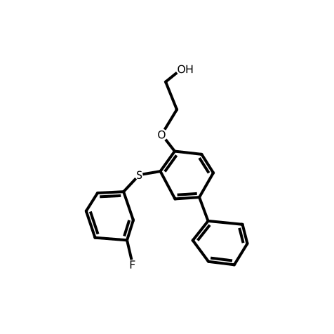 OCCOc1ccc(-c2ccccc2)cc1Sc1cccc(F)c1